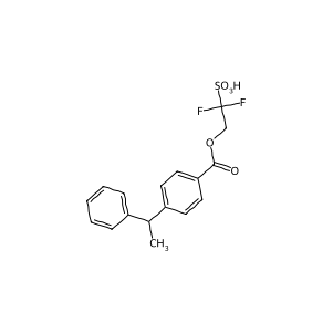 CC(c1ccccc1)c1ccc(C(=O)OCC(F)(F)S(=O)(=O)O)cc1